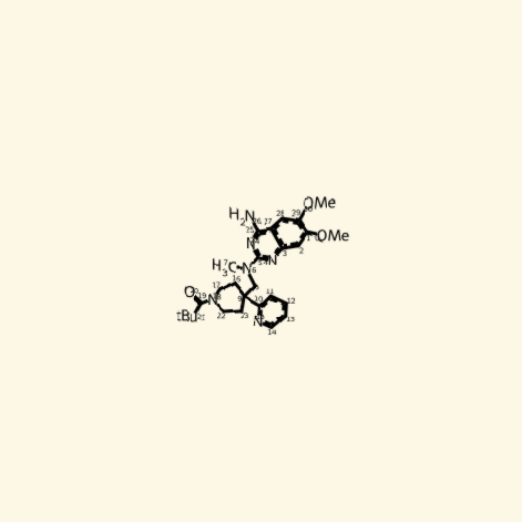 COc1cc2nc(N(C)CC3(c4ccccn4)CCN(C(=O)C(C)(C)C)CC3)nc(N)c2cc1OC